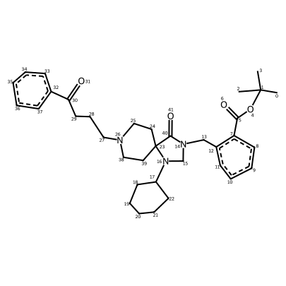 CC(C)(C)OC(=O)c1ccccc1CN1CN(C2CCCCC2)C2(CCN(CCCC(=O)c3ccccc3)CC2)C1=O